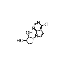 OC1CCC(n2ccc3c(Cl)ncnc32)C1O